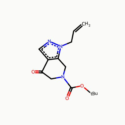 C=CCn1ncc2c1CN(C(=O)OC(C)(C)C)CC2=O